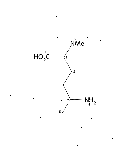 CNC(CCC(C)N)C(=O)O